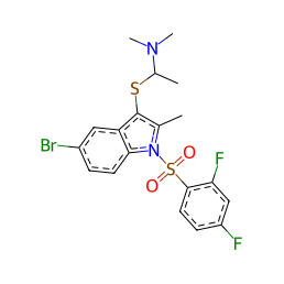 Cc1c(SC(C)N(C)C)c2cc(Br)ccc2n1S(=O)(=O)c1ccc(F)cc1F